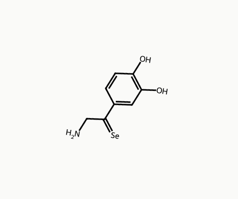 NCC(=[Se])c1ccc(O)c(O)c1